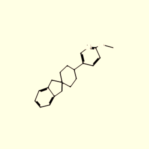 COc1ccc(C2CCC3(CC2)Cc2ccccc2C3)cn1